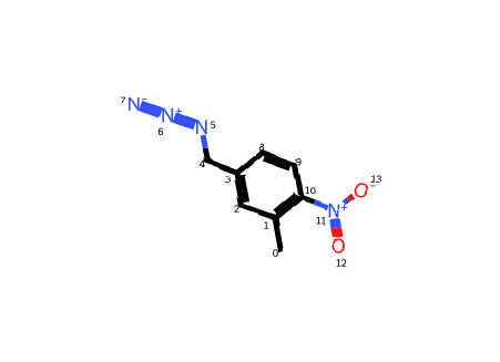 Cc1cc(CN=[N+]=[N-])ccc1[N+](=O)[O-]